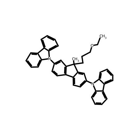 CCOCCCC1(C)c2cc(-n3c4ccccc4c4ccccc43)ccc2-c2ccc(-n3c4ccccc4c4ccccc43)cc21